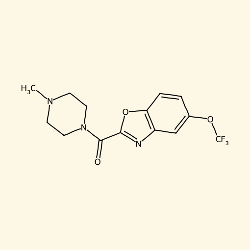 CN1CCN(C(=O)c2nc3cc(OC(F)(F)F)ccc3o2)CC1